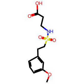 COc1cccc(CCS(=O)(=O)NCCC(=O)O)c1